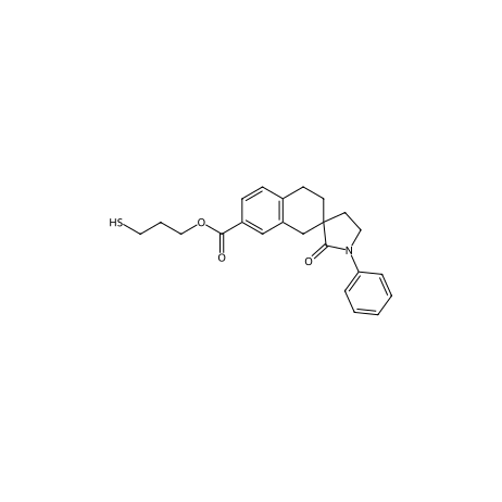 O=C(OCCCS)c1ccc2c(c1)CC1(CC2)CCN(c2ccccc2)C1=O